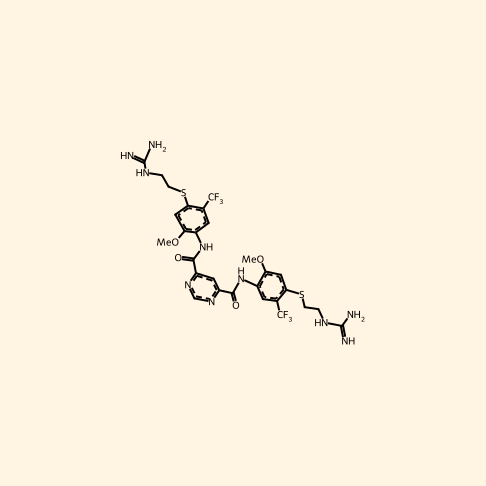 COc1cc(SCCNC(=N)N)c(C(F)(F)F)cc1NC(=O)c1cc(C(=O)Nc2cc(C(F)(F)F)c(SCCNC(=N)N)cc2OC)ncn1